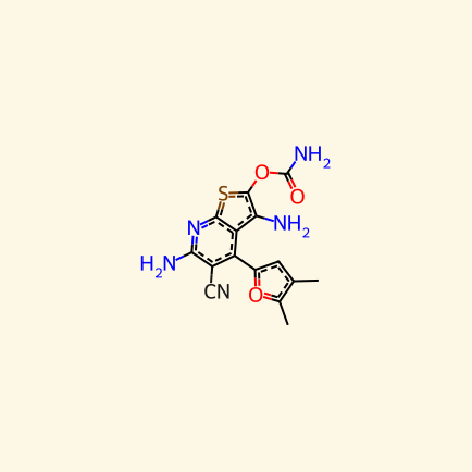 Cc1cc(-c2c(C#N)c(N)nc3sc(OC(N)=O)c(N)c23)oc1C